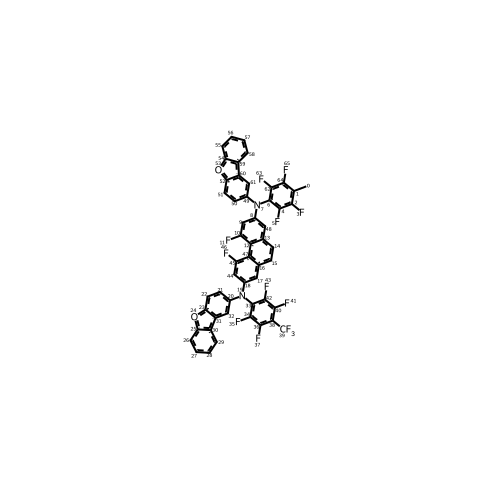 Cc1c(F)c(F)c(N(c2cc(F)c3c(ccc4cc(N(c5ccc6oc7ccccc7c6c5)c5c(F)c(F)c(C(F)(F)F)c(F)c5F)cc(F)c43)c2)c2ccc3oc4ccccc4c3c2)c(F)c1F